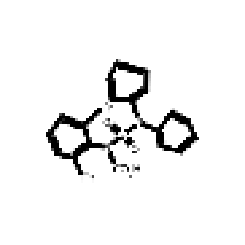 CC(C)c1cccc(C(C)C)c1N(C(=O)O)S(=O)(=O)N(c1ccccc1)c1ccccc1